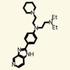 CCN(CC)CCN(CCN1CCCCC1)c1ccc(-c2nc3cnccc3[nH]2)cc1